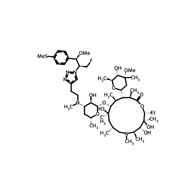 CC[C@H]1OC(=O)[C@H](C)[C@@H](C2C[C@@](C)(OC)[C@@H](O)[C@H](C)O2)[C@H](C)[C@@H](O[C@@H]2O[C@H](C)C[C@H](N(C)CCc3cn([C@H](CF)[C@H](OC)c4ccc(SC)cc4)nn3)[C@H]2O)[C@](C)(O)C[C@@H](C)CN(C)[C@H](C)[C@@H](O)[C@]1(C)O